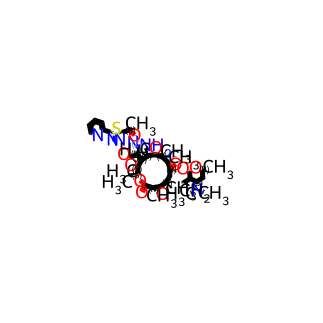 C=CC1C(OC[C@]2(OC)C[C@@H](C)C(=O)[C@@H](C)C(=O)O[C@@H](CC)[C@@]3(C)OC(=O)[C@@H](/C(N)=N/O[C@@H](C)c4nnc(-c5ccccn5)s4)[C@@H]3[C@@H](C)C(=O)[C@H](C)C2)O[C@H](C)C[C@@H]1N(C)C